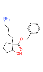 NCCCCC1(C(=O)OCc2ccccc2)CCCC1O